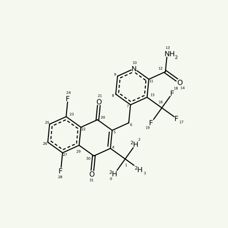 [2H]C([2H])([2H])C1=C(Cc2ccnc(C(N)=O)c2C(F)(F)F)C(=O)c2c(F)ccc(F)c2C1=O